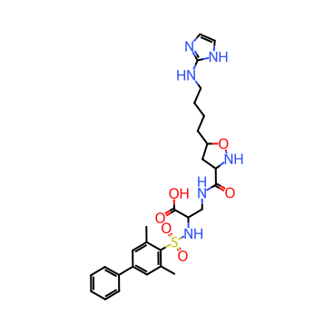 Cc1cc(-c2ccccc2)cc(C)c1S(=O)(=O)NC(CNC(=O)C1CC(CCCCNc2ncc[nH]2)ON1)C(=O)O